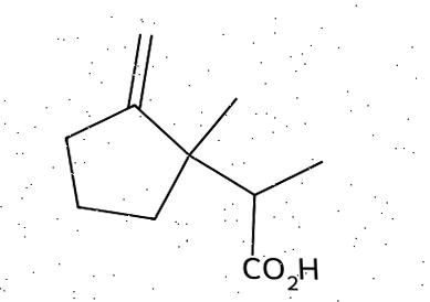 C=C1CCCC1(C)C(C)C(=O)O